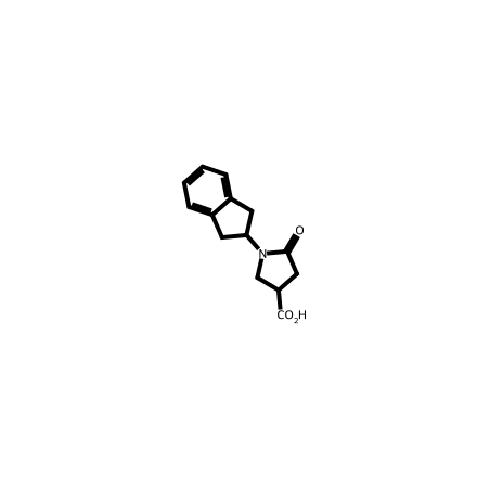 O=C(O)C1CC(=O)N(C2Cc3ccccc3C2)C1